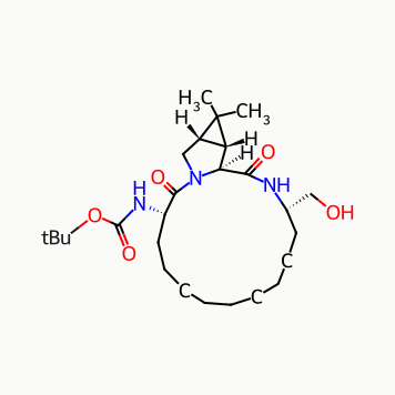 CC(C)(C)OC(=O)N[C@H]1CCCCCCCCC[C@@H](CO)NC(=O)[C@@H]2[C@@H]3[C@H](CN2C1=O)C3(C)C